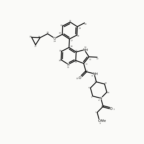 COCC(=O)N1CCC(NC(=O)c2c(C)[nH]c3c(-c4cc(C)ccc4OCC4CC4)ccnc23)CC1